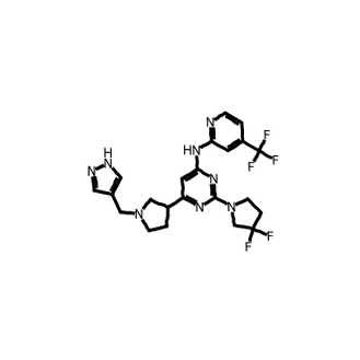 FC1(F)CCN(c2nc(Nc3cc(C(F)(F)F)ccn3)cc(C3CCN(Cc4cn[nH]c4)C3)n2)C1